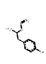 C=NOC(Cc1ccc(O)cc1)C(=O)O